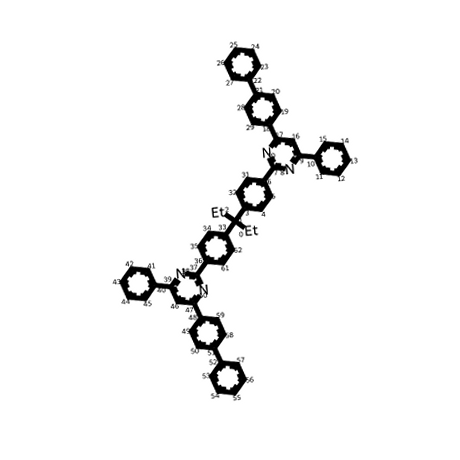 CCC(CC)(c1ccc(-c2nc(-c3ccccc3)cc(-c3ccc(-c4ccccc4)cc3)n2)cc1)c1ccc(-c2nc(-c3ccccc3)cc(-c3ccc(-c4ccccc4)cc3)n2)cc1